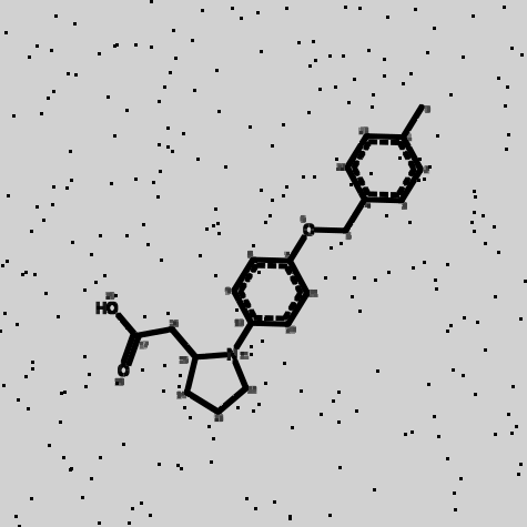 Cc1ccc(COc2ccc(N3CCCC3CC(=O)O)cc2)cc1